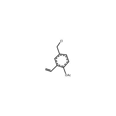 C=Cc1cc(CCl)ccc1OC(C)=O